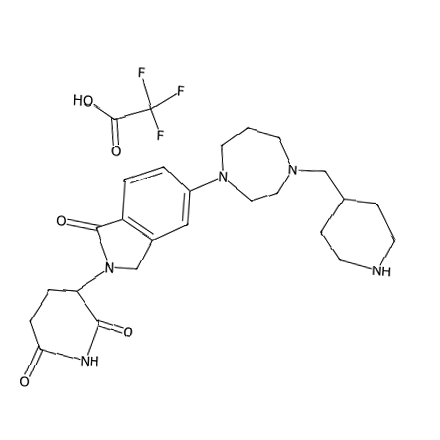 O=C(O)C(F)(F)F.O=C1CCC(N2Cc3cc(N4CCCN(CC5CCNCC5)CC4)ccc3C2=O)C(=O)N1